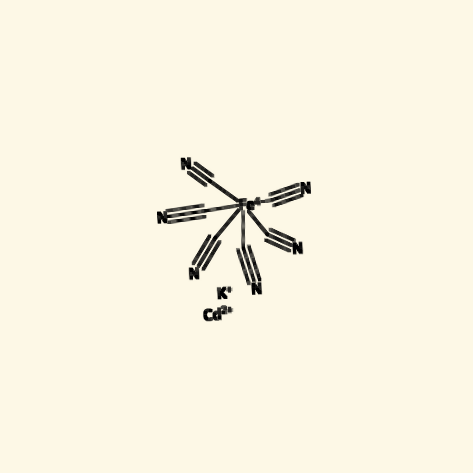 N#[C][Fe-4]([C]#N)([C]#N)([C]#N)([C]#N)[C]#N.[Cd+2].[K+]